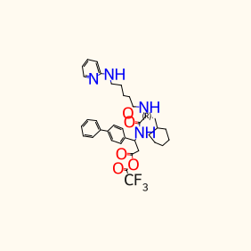 O=C(CCCCNc1ccccn1)N[C@H](CC1CCCCC1)C(=O)NC(CC(=O)OC(=O)C(F)(F)F)c1ccc(-c2ccccc2)cc1